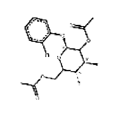 CC(=O)OCC1O[C@@H](Oc2ccccc2Cl)C(OC(C)=O)[C@@H](C)[C@@H]1C